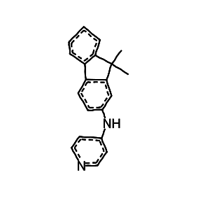 CC1(C)c2ccccc2-c2ccc(Nc3ccncc3)cc21